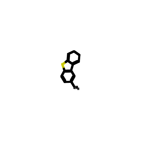 Cc1ccc2sc3c(c2c1)=CCCC=3